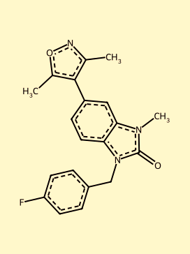 Cc1noc(C)c1-c1ccc2c(c1)n(C)c(=O)n2Cc1ccc(F)cc1